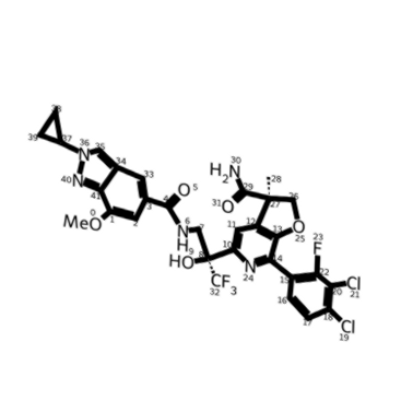 COc1cc(C(=O)NC[C@](O)(c2cc3c(c(-c4ccc(Cl)c(Cl)c4F)n2)OC[C@]3(C)C(N)=O)C(F)(F)F)cc2cn(C3CC3)nc12